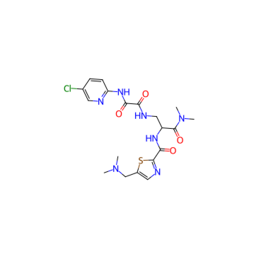 CN(C)Cc1cnc(C(=O)NC(CNC(=O)C(=O)Nc2ccc(Cl)cn2)C(=O)N(C)C)s1